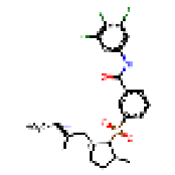 C/C(=C\C(=O)O)C[C@@H]1CCC(C)C1S(=O)(=O)c1cccc(C(=O)Nc2cc(F)c(F)c(F)c2)c1